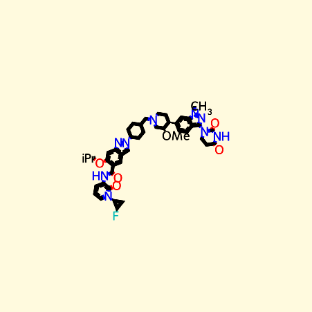 CO[C@H]1CN(CC2CCC(n3cc4cc(C(=O)Nc5cccn([C@H]6C[C@H]6F)c5=O)c(OC(C)C)cc4n3)CC2)CC[C@H]1c1ccc2c(N3CCC(=O)NC3=O)nn(C)c2c1